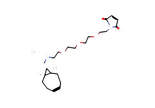 O=C(O)N(CCOCCOCCOCCN1C(=O)C=CC1=O)C[C@H]1[C@@H]2CCC#CCC[C@@H]21